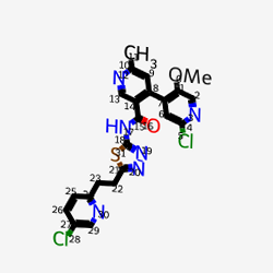 COc1cnc(Cl)cc1-c1cc(C)ncc1C(=O)Nc1nnc(CCc2ccc(Cl)cn2)s1